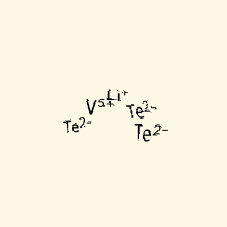 [Li+].[Te-2].[Te-2].[Te-2].[V+5]